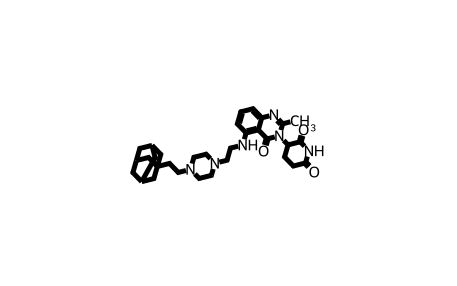 Cc1nc2cccc(NCCN3CCN(CCC45CC6CC(CC(C6)C4)C5)CC3)c2c(=O)n1C1CCC(=O)NC1=O